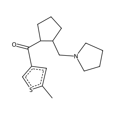 Cc1cc(C(=O)C2CCCC2CN2CCCC2)cs1